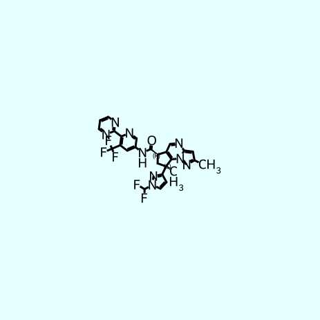 Cc1cc2ncc3c(n2n1)[C@](C)(c1ccn(C(F)F)n1)C[C@H]3C(=O)Nc1cnc(-c2ncccn2)c(C(F)(F)F)c1